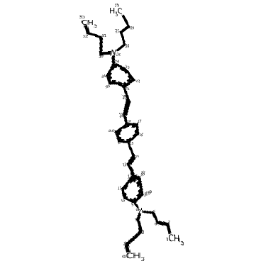 CCCCN(CCCC)c1ccc(/C=C/c2ccc(/C=C/c3ccc(N(CCCC)CCCC)cc3)cc2)cc1